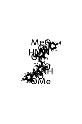 COc1cc(C)ccc1N=NC1C(=O)NC(=O)C(CCC2=C(C)C(N=Nc3ccc(C)cc3OC)C(=O)NC2=O)=C1C